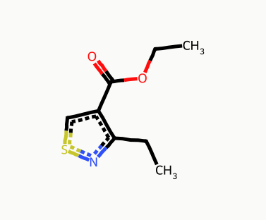 CCOC(=O)c1csnc1CC